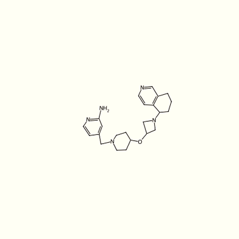 Nc1cc(CN2CCC(OC3CN(C4CCCc5cnccc54)C3)CC2)ccn1